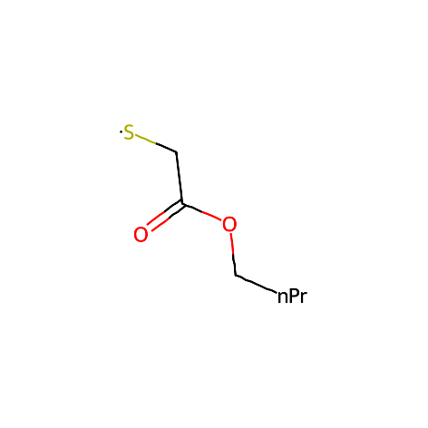 CCCCOC(=O)C[S]